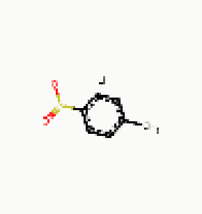 Cc1ccc(S(=O)[O-])cc1.[Li+]